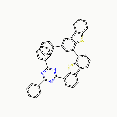 c1ccc(-c2cc(-c3cccc4c3sc3c(-c5nc(-c6ccccc6)nc(-c6ccccc6)n5)cccc34)c3sc4ccccc4c3c2)cc1